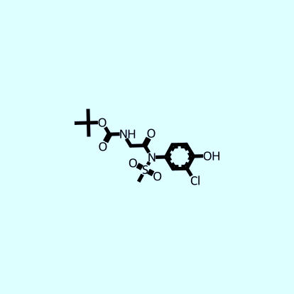 CC(C)(C)OC(=O)NCC(=O)N(c1ccc(O)c(Cl)c1)S(C)(=O)=O